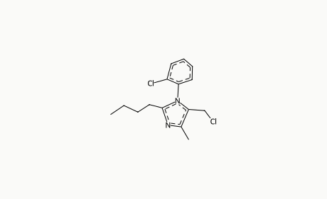 CCCCc1nc(C)c(CCl)n1-c1ccccc1Cl